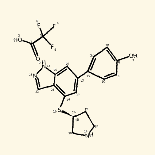 O=C(O)C(F)(F)F.Oc1ccc(-c2cc(S[C@H]3CCNC3)c3cn[nH]c3c2)cc1